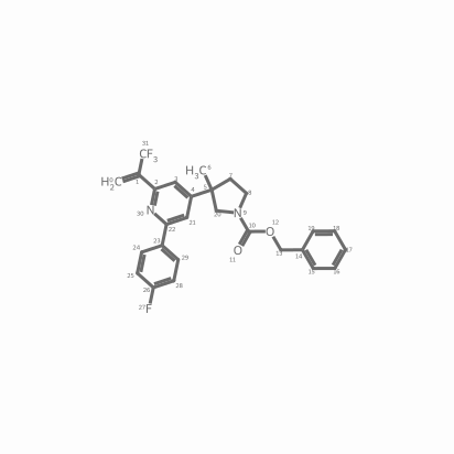 C=C(c1cc(C2(C)CCN(C(=O)OCc3ccccc3)C2)cc(-c2ccc(F)cc2)n1)C(F)(F)F